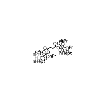 CCCCCCCOC(C)(OCCC)C(OCCC)(OCCC)OC(=O)CCC(=O)OC(OCCC)(OCCC)C(C)(OCCC)OCCCCCCC